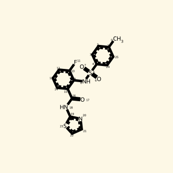 Cc1ccc(S(=O)(=O)Nc2c(F)cccc2C(=O)Nc2nccs2)cc1